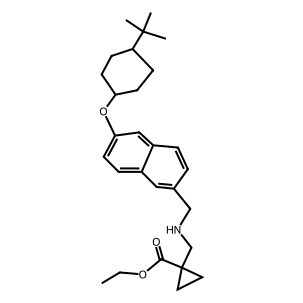 CCOC(=O)C1(CNCc2ccc3cc(OC4CCC(C(C)(C)C)CC4)ccc3c2)CC1